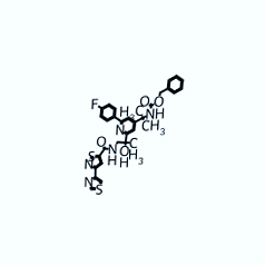 CC(O)(CNC(=O)c1cc(-c2cscn2)ns1)c1cc(C(C)(C)NC(=O)OCc2ccccc2)cc(-c2ccc(F)cc2)n1